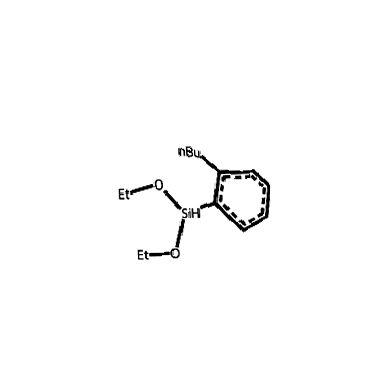 CCCCc1ccccc1[SiH](OCC)OCC